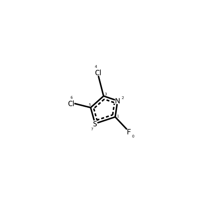 Fc1nc(Cl)c(Cl)s1